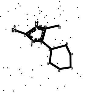 CCc1nc(C2CCCCC2)c(C)[nH]1